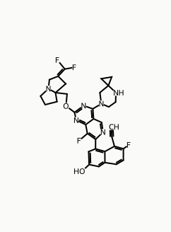 C#Cc1c(F)ccc2cc(O)cc(-c3ncc4c(N5CCNC6(CC6)C5)nc(OCC56CCCN5CC(=C(F)F)C6)nc4c3F)c12